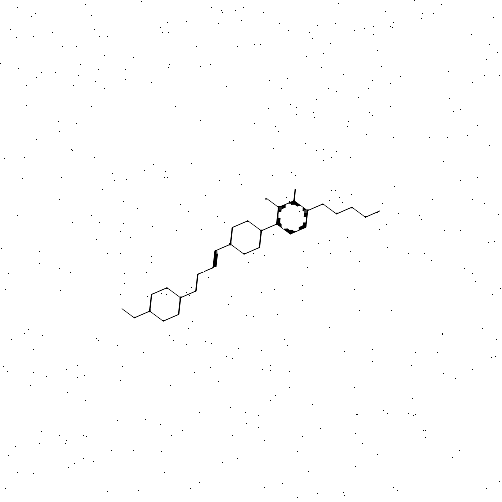 CCCCCc1ccc(C2CCC(/C=C/CCC3CCC(CC)CC3)CC2)c(Cl)c1F